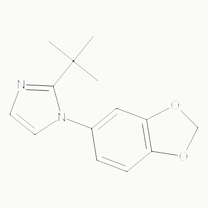 CC(C)(C)c1nccn1-c1ccc2c(c1)OCO2